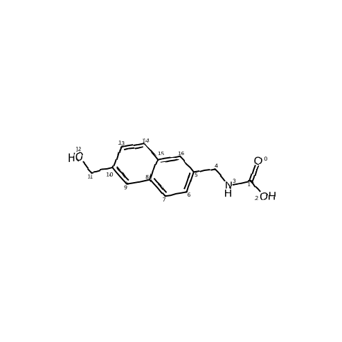 O=C(O)NCc1ccc2cc(CO)ccc2c1